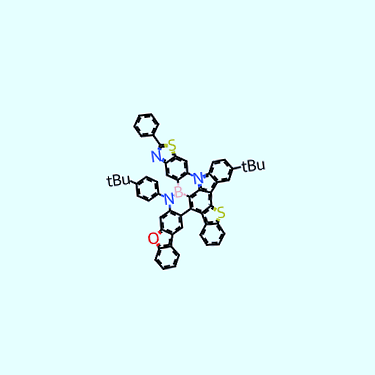 CC(C)(C)c1ccc(N2B3c4cc5nc(-c6ccccc6)sc5cc4-n4c5ccc(C(C)(C)C)cc5c5c6sc7ccccc7c6c(c3c54)-c3cc4c(cc32)oc2ccccc24)cc1